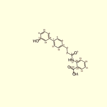 O=C(CCc1ccc(-c2cccc(O)c2)cc1)Nc1ccccc1C(=O)O